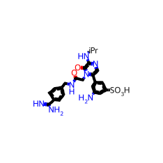 CC(C)Nc1ncc(-c2cc(N)cc(S(=O)(=O)O)c2)n(CC(=O)NCc2ccc(C(=N)N)cc2)c1=O